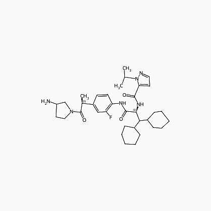 CC(C)n1nccc1C(=O)N[C@H](C(=O)Nc1ccc([C@H](C)C(=O)N2CCC(N)C2)cc1F)C(C1CCCCC1)C1CCCCC1